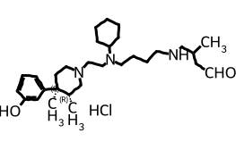 CC(CC=O)CNCCCCN(CCN1CC[C@](C)(c2cccc(O)c2)[C@@H](C)C1)C1CCCCC1.Cl